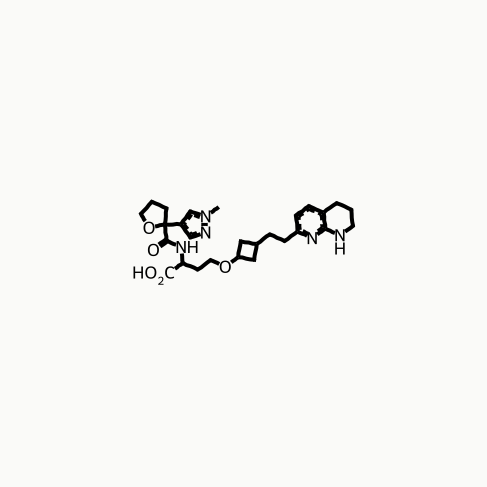 Cn1cc(C2(C(=O)NC(CCOC3CC(CCc4ccc5c(n4)NCCC5)C3)C(=O)O)CCCO2)cn1